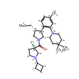 COC[C@H]1CN(C(=O)[C@@]2(F)CCN(C3CCC3)C2)C[C@@H]1c1ccc(C(F)(F)F)cc1N1CCC(C)(C(=O)O)CC1